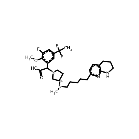 COc1c(F)cc(C(C)(F)F)cc1C(C(=O)O)N1CC[C@@H](N(C)CCCCCc2ccc3c(n2)NCCC3)C1